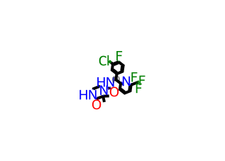 CC1(C)C(=O)NCCN1C(=O)N[C@H](c1ccc(F)c(Cl)c1)c1cccc(C(F)(F)F)n1